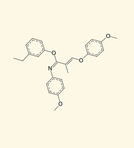 CCc1cccc(OC(=Nc2ccc(OC)cc2)C(C)=COc2ccc(OC)cc2)c1